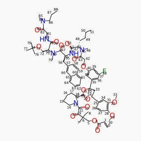 C=CC(=O)OCC(C)(C)C(=O)C(=O)N1CCCC[C@H]1C(=O)O[C@H](CCc1ccc(OC)c(OC)c1)c1cc(F)cc(OCC(=O)N(C)[C@@H](CCCC)C(=O)N[C@@H](Cc2ccc3ccccc3c2)C(=O)N(C)[C@@H](COC(C)(C)C)C(=O)NCC(=O)N(C)CCC)c1